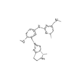 CNc1cc(C)nc(Nc2ccc(OC)c(-n3cc4c(n3)CCNC4C)c2)n1